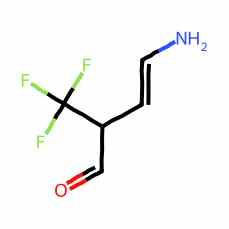 NC=CC(C=O)C(F)(F)F